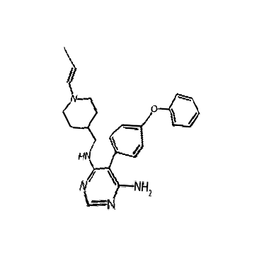 CC=CN1CCC(CNc2ncnc(N)c2-c2ccc(Oc3ccccc3)cc2)CC1